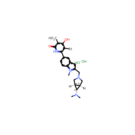 CCc1c(-c2ccc3c(c2)cc(CN2C[C@@H]4[C@H](C2)[C@H]4N(C)C)n3C)[nH]c(=O)c(C(=O)O)c1O.Cl.Cl